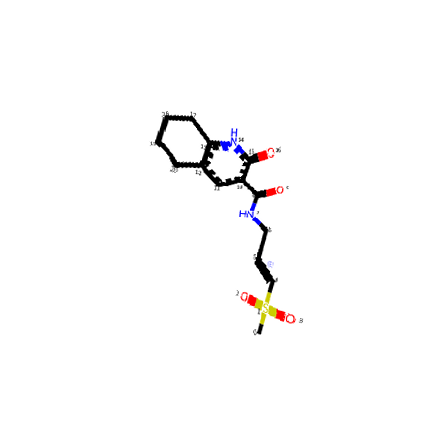 CS(=O)(=O)/C=C/CNC(=O)c1cc2c([nH]c1=O)CCCC2